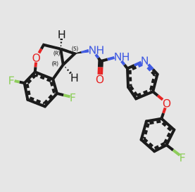 O=C(Nc1ccc(Oc2cccc(F)c2)cn1)N[C@@H]1[C@@H]2COc3c(F)ccc(F)c3[C@@H]21